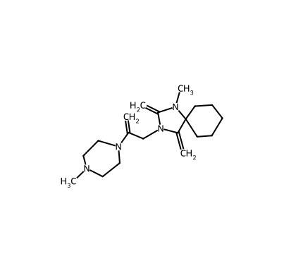 C=C(CN1C(=C)N(C)C2(CCCCC2)C1=C)N1CCN(C)CC1